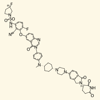 CN(c1ccc(-n2cnc3ccc(Oc4c(F)ccc(NS(=O)(=O)N5CC[C@@H](F)C5)c4C#N)cc3c2=O)cc1)[C@H]1CC[C@@H](N2CCN(c3ccc4c(c3)CN([C@H]3CCC(=O)NC3=O)C4=O)CC2)CC1